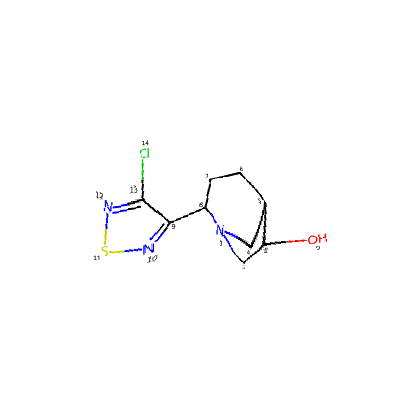 OC1CN2CC1CCC2c1nsnc1Cl